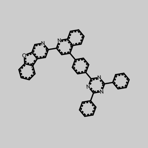 c1ccc(-c2nc(-c3ccccc3)nc(-c3ccc(-c4cc(-c5cc6c(cn5)oc5ccccc56)nc5ccccc45)cc3)n2)cc1